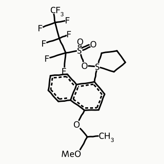 COC(C)Oc1ccc(S2(OS(=O)(=O)C(F)(F)C(F)(F)C(F)(F)C(F)(F)F)CCCC2)c2ccccc12